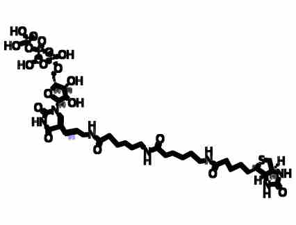 O=C(CCCCCNC(=O)CCCCCNC(=O)CCCC[C@H]1SC[C@H]2NC(=O)N[C@H]21)NC/C=C/c1cn([C@@H]2O[C@H](COP(=O)(O)OP(=O)(OO)OP(=O)(O)O)[C@H](O)C2O)c(=O)[nH]c1=O